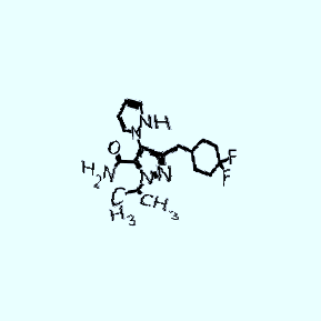 CC(C)n1nc(CC2CCC(F)(F)CC2)c(N2C=CC=CN2)c1C(N)=O